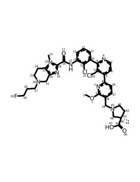 COc1nc(-c2ccnc(-c3cccc(NC(=O)c4nc5c(n4C)CCN(CCCF)C5)c3Cl)c2Cl)ccc1CN1CC[C@@](C)(C(=O)O)C1